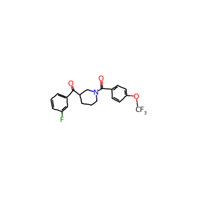 O=C(c1cccc(F)c1)C1CCCN(C(=O)c2ccc(OC(F)(F)F)cc2)C1